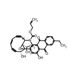 C=CCOC(=O)N1c2c(cc(O)c3c2C(=O)c2ccc(CC)cc2C3=O)[C@@]23O[C@@]2(C(C)C)[C@@H]1C#C/C=C\C#C[C@H]3O